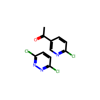 CC(=O)c1ccc(Cl)nc1.Clc1ccc(Cl)nn1